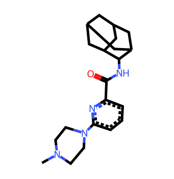 CN1CCN(c2cccc(C(=O)NC3C4CC5CC(C4)CC3C5)n2)CC1